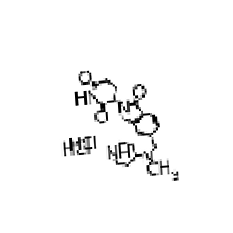 CN(Cc1ccc2c(c1)CN(C1CCC(=O)NC1=O)C2=O)C1CCNCC1.Cl.Cl